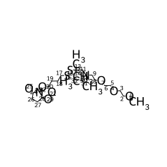 COCCOCCOCCN(CC(C)(C)SSCCCC(=O)ON1C(=O)CCC1=O)C(C)C